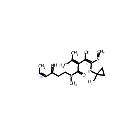 C=N/C(NC1(C)CC1)=C(\CC)C(C(=O)N(C)CCC(=N)/C=C\C)=C(C)C